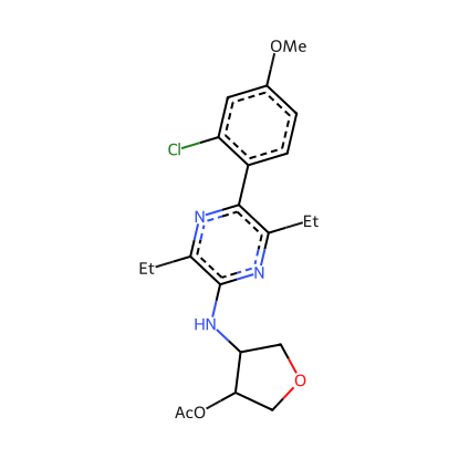 CCc1nc(-c2ccc(OC)cc2Cl)c(CC)nc1NC1COCC1OC(C)=O